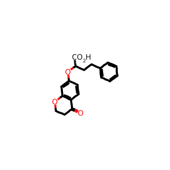 O=C1CCOc2cc(OC(CCc3ccccc3)C(=O)O)ccc21